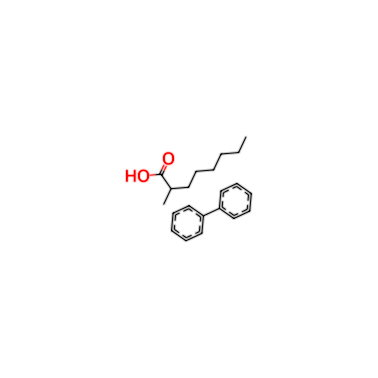 CCCCCCC(C)C(=O)O.c1ccc(-c2ccccc2)cc1